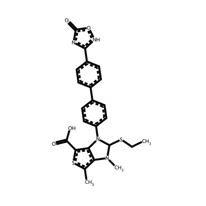 CCSC1N(C)c2c(C)sc(C(=O)O)c2N1c1ccc(-c2ccc(-c3nc(=O)o[nH]3)cc2)cc1